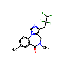 Cc1ccc2c(c1)C(=O)N(C)Cc1c(CC(F)(F)C(F)F)ncn1-2